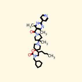 CCCCC1CN(CC2CCCCC2)C(=O)OC12CCN(C1(C)CCN(C(=O)c3c(C)nc(-c4ccncc4)nc3C)CC1)CC2